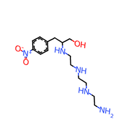 NCCNCCNCCNC(CO)Cc1ccc([N+](=O)[O-])cc1